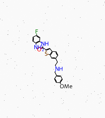 COc1ccc(CNCCc2ccc3cc(C(=O)Nc4cc(F)ccc4N)sc3c2)cc1